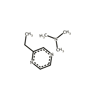 CCc1cnccn1.CN(C)C